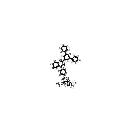 CC1(C)OB(c2ccc(-c3nc(-c4cc(-c5ccccc5)cc(-c5ccccc5)c4)nc4ccccc34)cc2)OC1(C)C